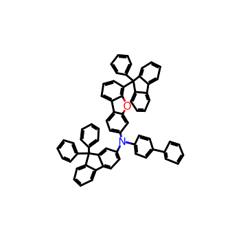 c1ccc(-c2ccc(N(c3ccc4c(c3)C(c3ccccc3)(c3ccccc3)c3ccccc3-4)c3ccc4c(c3)oc3c(C5(c6ccccc6)c6ccccc6-c6ccccc65)cccc34)cc2)cc1